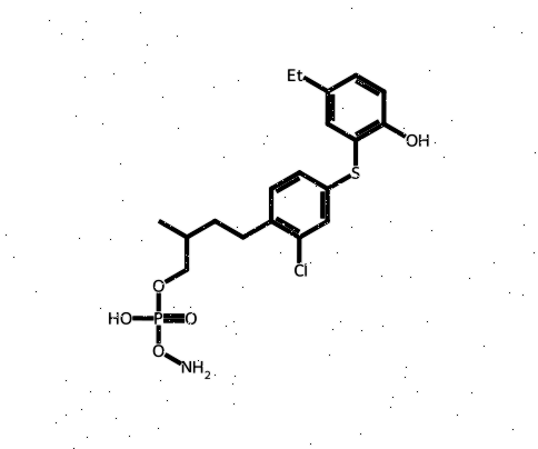 CCc1ccc(O)c(Sc2ccc(CCC(C)COP(=O)(O)ON)c(Cl)c2)c1